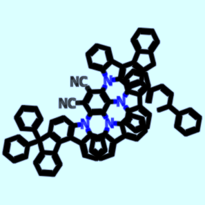 C=C(/C=C\C(C)c1ccccc1)c1cc2c(c3c1Cc1ccccc1-3)c1ccccc1n2-c1c(C#N)c(C#N)c(-n2c3ccccc3c3c4c(ccc32)C(c2ccccc2)(c2ccccc2)c2ccccc2-4)c(-n2c3ccccc3c3ccccc32)c1-n1c2ccccc2c2ccccc21